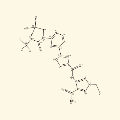 CCn1cc(NC(=O)c2coc(-c3ccnc(N(CC(F)(F)F)C(=O)OC(C)(C)C)c3)n2)c(C(N)=O)n1